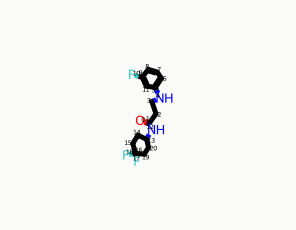 O=C(CCNc1cccc(F)c1)NC1CCC(F)(F)CC1